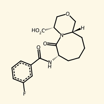 O=C(N[C@H]1CCCC[C@H]2COC[C@@H](C(=O)O)N2C1=O)c1cccc(F)c1